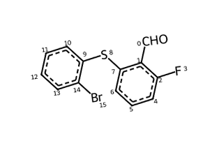 O=Cc1c(F)cccc1Sc1ccccc1Br